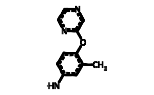 Cc1cc([NH])ccc1Oc1cnccn1